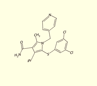 Cc1c(C(N)=O)c(C(C)C)c(Sc2cc(Cl)cc(Cl)c2)n1Cc1ccncc1